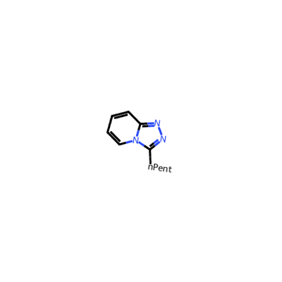 CCCCCc1nnc2ccccn12